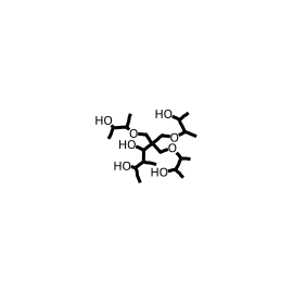 CC(O)C(C)OCC(COC(C)C(C)O)(COC(C)C(C)O)C(O)C(C)C(C)O